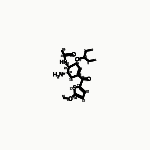 CCC(CC)O[C@@H]1C=C(C(=O)c2ccc(OC)s2)C[C@H](N)[C@H]1NC(C)=O